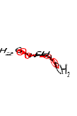 C=CC(=O)OCCCCOc1ccc(C#Cc2ccc(C#Cc3ccc(OCCCCOC(=O)C=C)cc3)c(C)c2)cc1